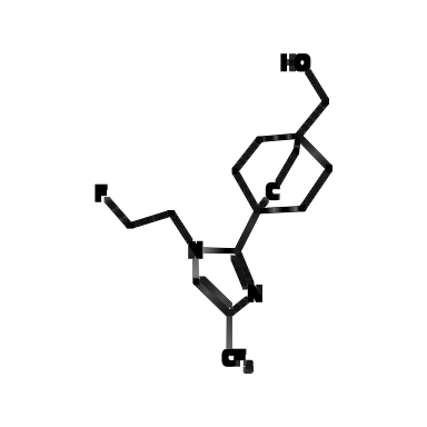 OCC12CCC(c3nc(C(F)(F)F)cn3CCF)(CC1)CC2